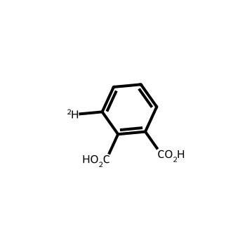 [2H]c1cccc(C(=O)O)c1C(=O)O